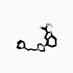 NC(=O)c1cc2c(N3CCN(CCCc4ccccc4)CC3)cccc2s1